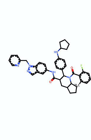 Cc1cccc(F)c1C(=O)N1C2CCCC2CC(C(=O)Nc2ccc3c(cnn3Cc3ccccn3)c2)C1c1ccc(NC2CCCC2)cc1